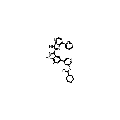 O=C(Nc1cncc(-c2cc(F)c3[nH]nc(-c4nc5c(-c6ccccn6)ccnc5[nH]4)c3c2)c1)C1CCCCC1